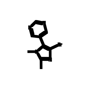 Cc1nc(Br)c(-c2cncnc2)n1C